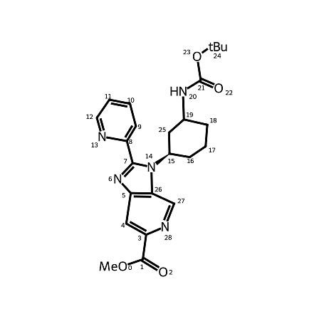 COC(=O)c1cc2nc(-c3ccccn3)n([C@@H]3CCCC(NC(=O)OC(C)(C)C)C3)c2cn1